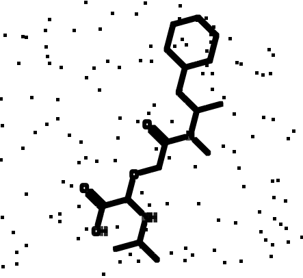 CC(C)NC(OCC(=O)N(C)C(C)CC1CCCCC1)C(=O)O